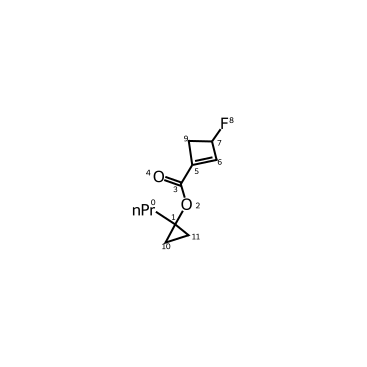 CCCC1(OC(=O)C2=CC(F)C2)CC1